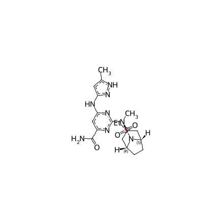 CCS(=O)(=O)N1[C@@H]2CC[C@H]1C[C@H](N(C)c1nc(Nc3cc(C)[nH]n3)cc(C(N)=O)n1)C2